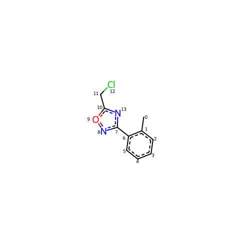 Cc1ccccc1-c1noc(CCl)n1